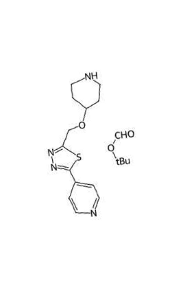 CC(C)(C)OC=O.c1cc(-c2nnc(COC3CCNCC3)s2)ccn1